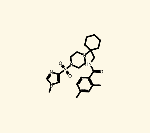 Cc1ccc(C(=O)NCC2(N3CCN(S(=O)(=O)c4cn(C)cn4)CC3)CCCCC2)c(C)c1